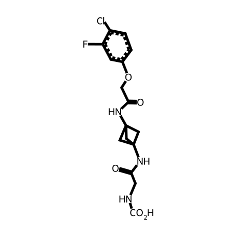 O=C(O)NCC(=O)NC12CC(NC(=O)COc3ccc(Cl)c(F)c3)(C1)C2